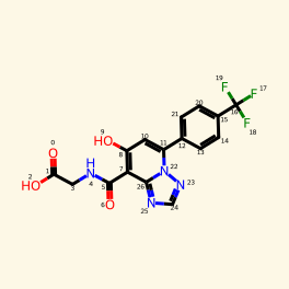 O=C(O)CNC(=O)c1c(O)cc(-c2ccc(C(F)(F)F)cc2)n2ncnc12